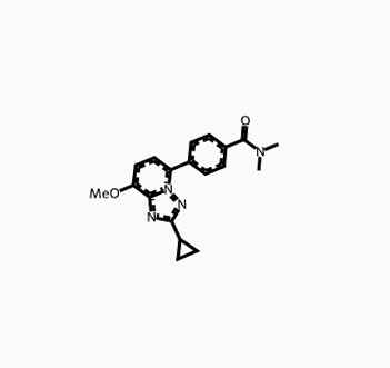 COc1ccc(-c2ccc(C(=O)N(C)C)cc2)n2nc(C3CC3)nc12